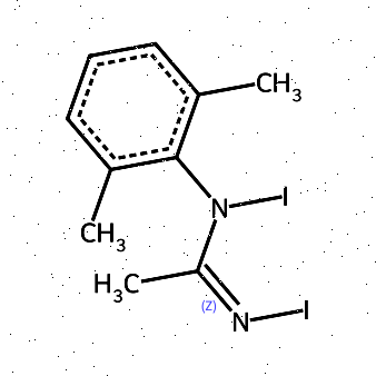 C/C(=N/I)N(I)c1c(C)cccc1C